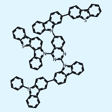 c1ccc(-n2c3ccccc3c3cc(-c4ccc5c6ccccc6n(-c6nc(-n7c8ccccc8c8c9sc%10ccccc%10c9ccc87)c7cc(-n8c9ccccc9c9ccc(-c%10ccc%11c(c%10)sc%10ccccc%10%11)cc98)ccc7n6)c5c4)ccc32)cc1